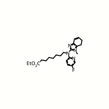 CCOC(=O)CCCCCCCN(c1ccc(F)cn1)c1nc2c(n1C)CCC=C2